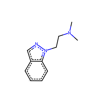 CN(C)CCn1ncc2c[c]ccc21